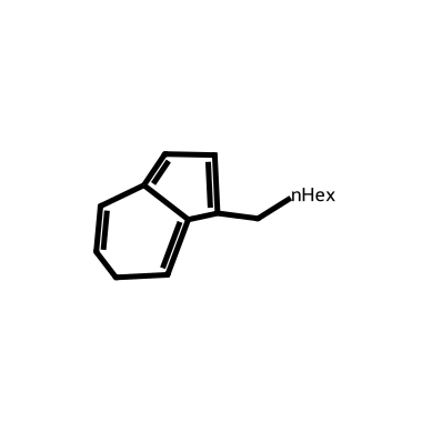 CCCCCCCC1=CC=C2C=CCC=C21